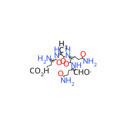 C[C@H](NC(=O)[C@@H](N)CCC(=O)O)C(=O)N[C@@H](CCC(N)=O)C(=O)N[C@H]([C]=O)CCC(N)=O